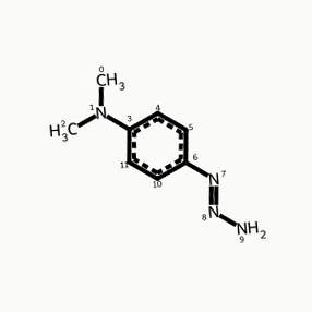 CN(C)c1ccc(N=NN)cc1